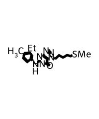 CCc1cc(Nc2nc3nnn(CCCCCSC)c3c(=O)[nH]2)ccc1C